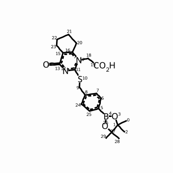 CC1(C)OB(c2ccc(CSc3nc(=O)c4c(n3CC(=O)O)CCCC4)cc2)OC1(C)C